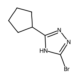 Brc1nnc(C2CCCC2)[nH]1